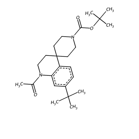 CC(=O)N1CCC2(CCN(C(=O)OC(C)(C)C)CC2)c2ccc(C(C)(C)C)cc21